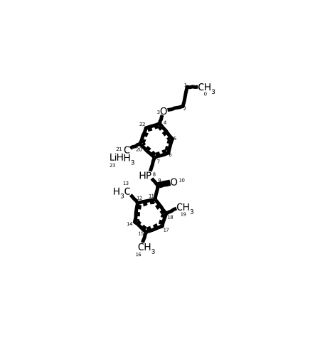 CCCOc1ccc(PC(=O)c2c(C)cc(C)cc2C)c(C)c1.[LiH]